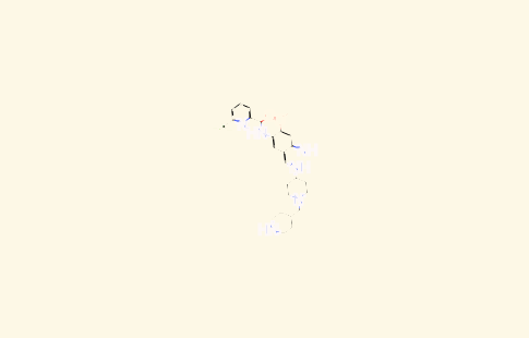 COC1=CC(=N)/C(=C\NC2CCN(CC3CCNCC3)CC2)C=C1NC(=O)c1cccc(C(F)(F)F)n1